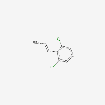 CCCCC=Cc1c(Cl)cccc1Cl